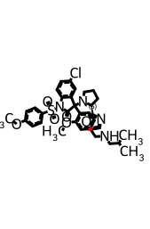 COc1ccc(S(=O)(=O)N2C(=O)C(c3ccc(CNCC(C)C)cc3OC)(N3CCC[C@H]3c3ncco3)c3cc(Cl)ccc32)cc1